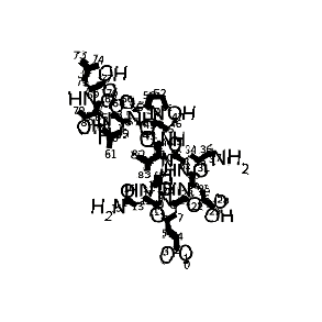 COC(=O)/C=C/CC[C@H](NC(=O)[C@H](CC(N)=O)NC(C)=O)C(=O)N[C@@H](CCC(=O)O)C(=O)N[C@@H](CCCN)C(=O)N[C@H](C(=O)N[C@@H](CO)C(=O)N1CCC[C@H]1C(=O)N[C@@H](CC(C)C)C(=O)N[C@H](C(=O)N[C@@H](CC(C)C)C(=O)O)C(C)O)C(C)C